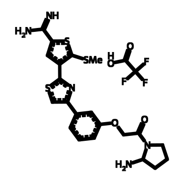 CSc1sc(C(=N)N)cc1-c1nc(-c2cccc(OCC(=O)N3CCCC3N)c2)cs1.O=C(O)C(F)(F)F